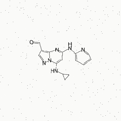 O=Cc1cnn2c(NC3CC3)cc(Nc3ccccn3)nc12